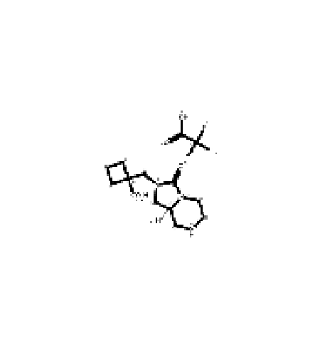 O=C(O)C(F)(F)F.O=C1N(CC2(C(=O)O)CCC2)C[C@@H]2CNCCN12